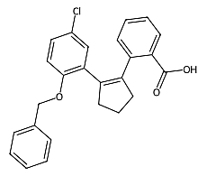 O=C(O)c1ccccc1C1=C(c2cc(Cl)ccc2OCc2ccccc2)CCC1